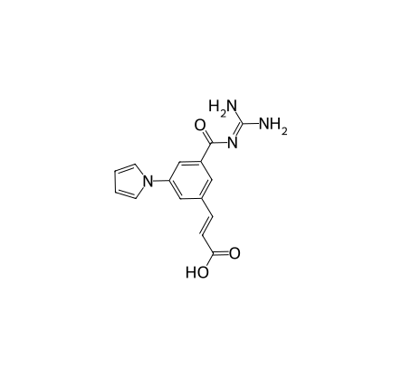 NC(N)=NC(=O)c1cc(C=CC(=O)O)cc(-n2cccc2)c1